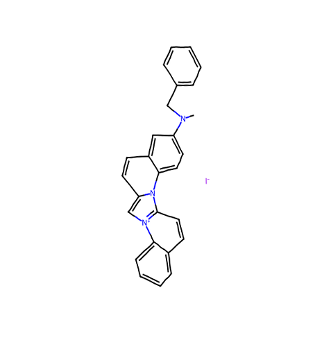 CN(Cc1ccccc1)c1ccc2c(ccc3c[n+]4c5ccccc5ccc4n32)c1.[I-]